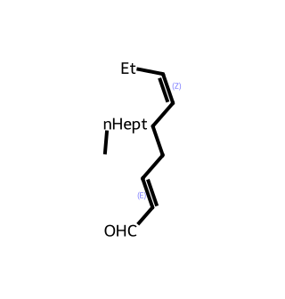 CC/C=C\CC/C=C/C=O.CCCCCCCC